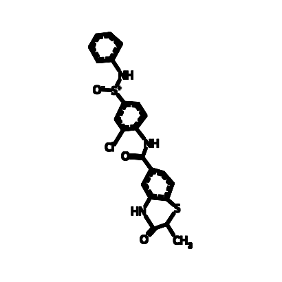 CC1Sc2ccc(C(=O)Nc3ccc([S+]([O-])Nc4ccccc4)cc3Cl)cc2NC1=O